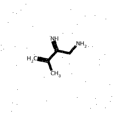 C=C(C)C(=N)CN